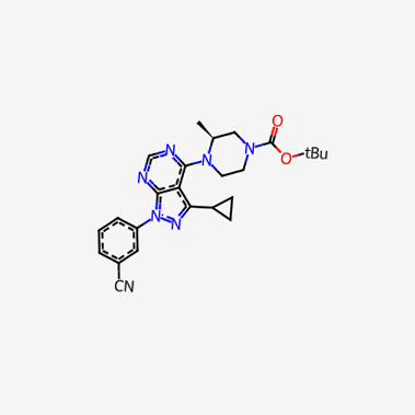 C[C@H]1CN(C(=O)OC(C)(C)C)CCN1c1ncnc2c1c(C1CC1)nn2-c1cccc(C#N)c1